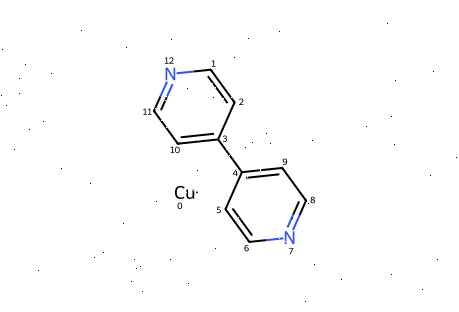 [Cu].c1cc(-c2ccncc2)ccn1